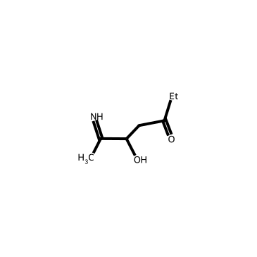 CCC(=O)CC(O)C(C)=N